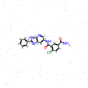 NC(=O)c1ccc(Cl)c(C(=O)Nc2cnc3[nH]c(-c4ccccc4)nc3c2)c1